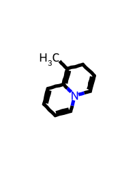 CC1=C2C=CC=CN2C=CC1